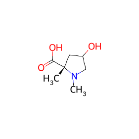 CN1CC(O)C[C@@]1(C)C(=O)O